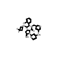 N#Cc1ccnc(N2C(=N)CC[C@H]2C(=O)N(Cc2cncc(F)c2)[C@H](C(=O)NC2CC(F)(F)C2)c2ccccc2Cl)c1